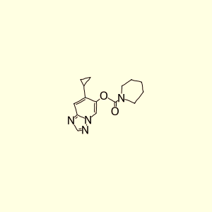 O=C(Oc1cn2ncnc2cc1C1CC1)N1CCCCC1